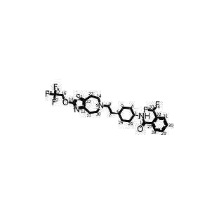 O=C(N[C@H]1CC[C@H](CCN2CCc3nc(OCC(F)(F)F)sc3CC2)CC1)c1ccccc1C(F)F